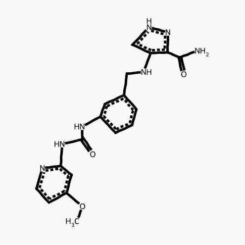 COc1ccnc(NC(=O)Nc2cccc(CNc3c[nH]nc3C(N)=O)c2)c1